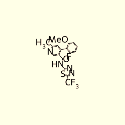 COc1cccc(F)c1-c1cc(C)ncc1C(=O)Nc1nnc(C(F)(F)F)s1